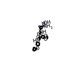 N/C(=N\O)c1csc(CNC(=O)[C@@H]2CC3(CN2C(=O)CNc2ccc(Oc4ccccc4)cc2)OCCO3)c1